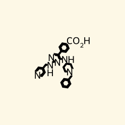 O=C(O)c1ccc(-c2cnc(NCc3ccncc3)nc2NC2CCN(Cc3ccccc3)CC2)cc1